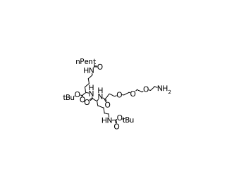 CCCCCC(=O)NCCCCC(NC(=O)C(CCCCNC(=O)OC(C)(C)C)NC(=O)CCOCCOCCOCCN)C(=O)OC(C)(C)C